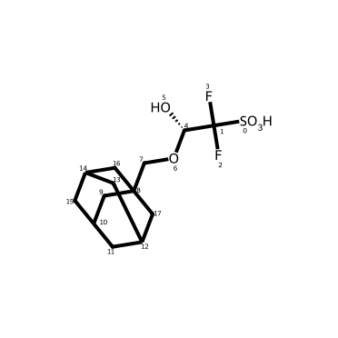 O=S(=O)(O)C(F)(F)[C@@H](O)OCC12CC3CC(CC(C3)C1)C2